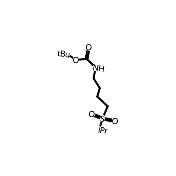 CC(C)S(=O)(=O)CCCCNC(=O)OC(C)(C)C